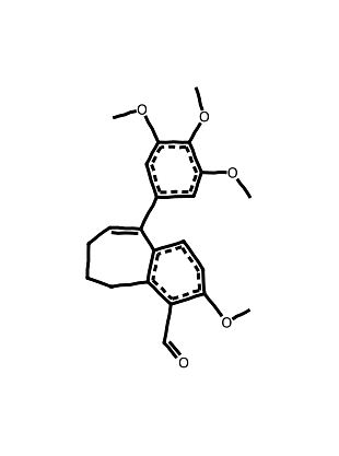 COc1ccc2c(c1C=O)CCCC=C2c1cc(OC)c(OC)c(OC)c1